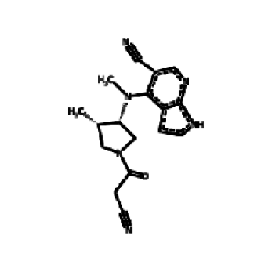 C[C@H]1CN(C(=O)CC#N)C[C@H]1N(C)c1c(C#N)cnc2[nH]ccc12